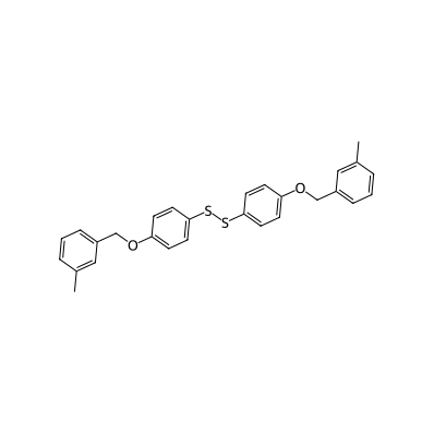 Cc1cccc(COc2ccc(SSc3ccc(OCc4cccc(C)c4)cc3)cc2)c1